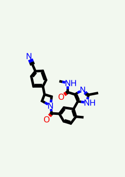 CNC(=O)c1nc(C)[nH]c1-c1cc(C(=O)N2CC(c3ccc(C#N)cc3)C2)ccc1C